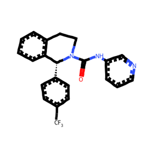 O=C(Nc1cccnc1)N1CCc2ccccc2[C@H]1c1ccc(C(F)(F)F)cc1